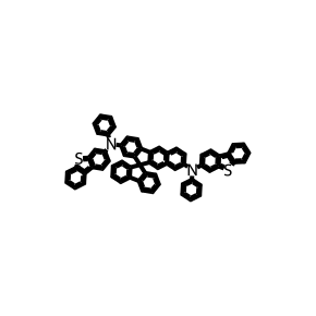 c1ccc(N(c2ccc3c(c2)C2(c4ccccc4-c4ccccc42)c2cc4cc(N(c5ccccc5)c5ccc6c(c5)sc5ccccc56)ccc4cc2-3)c2ccc3c(c2)sc2ccccc23)cc1